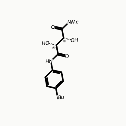 CCC(C)c1ccc(NC(=O)[C@H](O)[C@@H](O)C(=O)NC)cc1